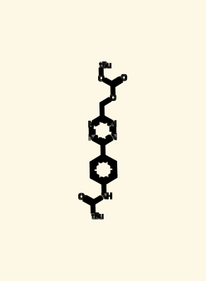 CC(C)(C)OC(=O)OCc1nnc(-c2ccc(NC(=O)C(C)(C)C)cc2)nn1